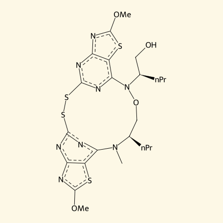 CCC[C@@H]1CON([C@@H](CO)CCC)c2nc(nc3nc(OC)sc23)SSc2nc(c3sc(OC)nc3n2)N1C